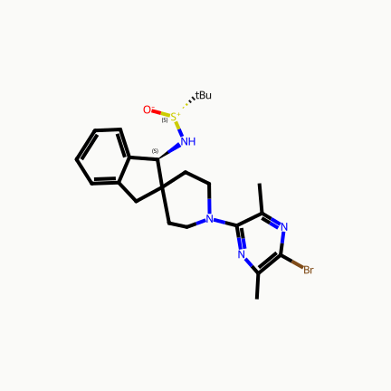 Cc1nc(N2CCC3(CC2)Cc2ccccc2[C@H]3N[S@+]([O-])C(C)(C)C)c(C)nc1Br